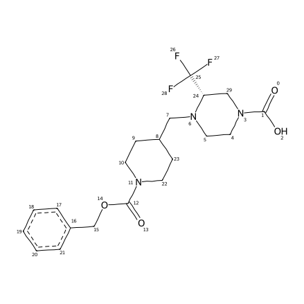 O=C(O)N1CCN(CC2CCN(C(=O)OCc3ccccc3)CC2)[C@H](C(F)(F)F)C1